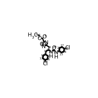 CCOC(=O)c1nc(C[C@H](Cc2ccc(Cl)cc2)NC(=O)Nc2ccc(Cl)cc2)no1